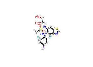 O=S(=O)(C1CC1)N(CC(O)CO)c1cc2scnc2c(F)c1Nc1ccc(I)cc1F